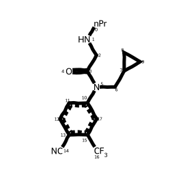 CCCNCC(=O)N(CC1CC1)c1ccc(C#N)c(C(F)(F)F)c1